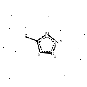 Cc1conn1